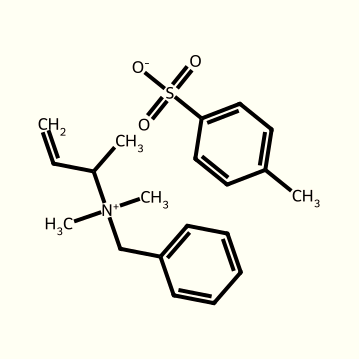 C=CC(C)[N+](C)(C)Cc1ccccc1.Cc1ccc(S(=O)(=O)[O-])cc1